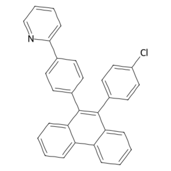 Clc1ccc(-c2c(-c3ccc(-c4ccccn4)cc3)c3ccccc3c3ccccc23)cc1